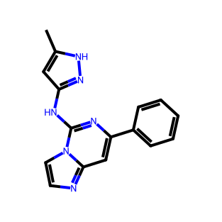 Cc1cc(Nc2nc(-c3ccccc3)cc3nccn23)n[nH]1